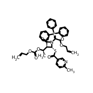 C=CCOC(=O)O[C@H](C)[C@H]1C(=O)N(C(C(=O)OCC=C)=P(c2ccccc2)(c2ccccc2)c2ccccc2)[C@@H]1SC(=O)c1ccc(C)nc1